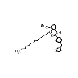 CCCCCCCCCCCCCCOc1c(Cl)cccc1NC(=O)c1ccc(C[n+]2ccsc2)cc1.[Br-]